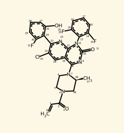 C=CC(=O)N1CCN(c2nc(=O)n(-c3c(F)cccc3F)c3nc(-c4c(O)cccc4F)c(Cl)cc23)[C@@H](C)C1